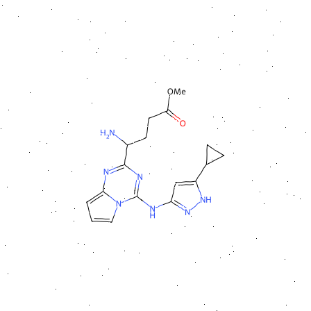 COC(=O)CCC(N)c1nc(Nc2cc(C3CC3)[nH]n2)n2cccc2n1